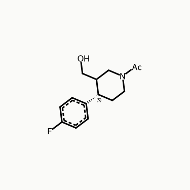 CC(=O)N1CC[C@H](c2ccc(F)cc2)C(CO)C1